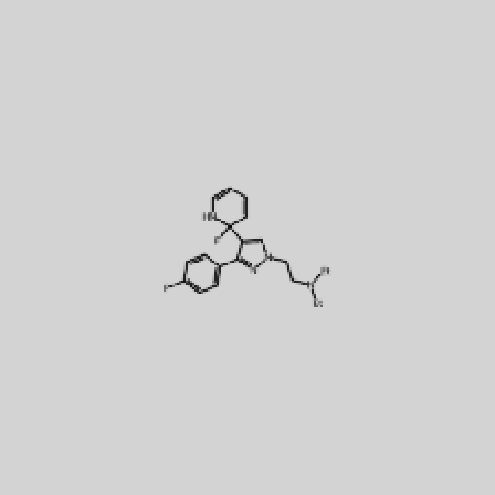 CCN(CC)CCn1cc(C2(F)C=CC=CN2)c(-c2ccc(F)cc2)n1